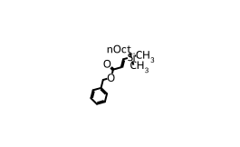 CCCCCCCC[Si](C)(C)C=CC(=O)OCc1ccccc1